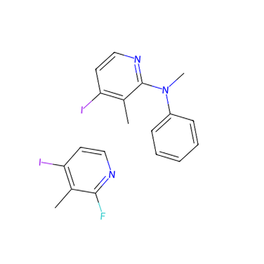 Cc1c(I)ccnc1F.Cc1c(I)ccnc1N(C)c1ccccc1